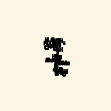 COc1cc(/N=N/c2cccc3c2CN(C2CCC(=O)NC2=O)C3=O)cc(OC)c1OCC(=O)NCCCCNC(=O)C[C@@H]1N=C(c2ccc(Cl)cc2)c2c(sc(C)c2C)-n2c(C)nnc21